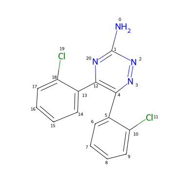 Nc1nnc(-c2ccccc2Cl)c(-c2ccccc2Cl)n1